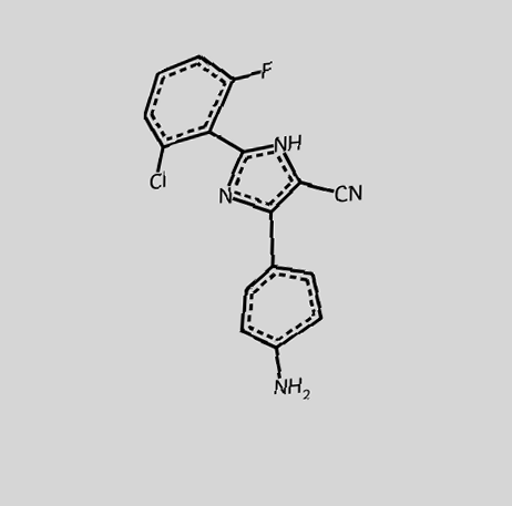 N#Cc1[nH]c(-c2c(F)cccc2Cl)nc1-c1ccc(N)cc1